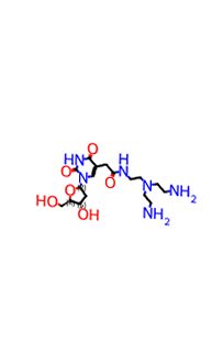 NCCN(CCN)CCNC(=O)Cc1cn([C@H]2C[C@H](O)[C@@H](CO)O2)c(=O)[nH]c1=O